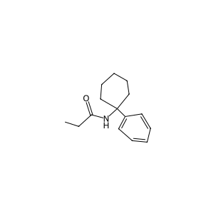 CCC(=O)NC1(c2ccccc2)CCCCC1